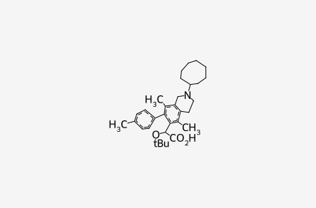 Cc1ccc(-c2c(C)c3c(c(C)c2C(OC(C)(C)C)C(=O)O)CCN(C2CCCCCCC2)C3)cc1